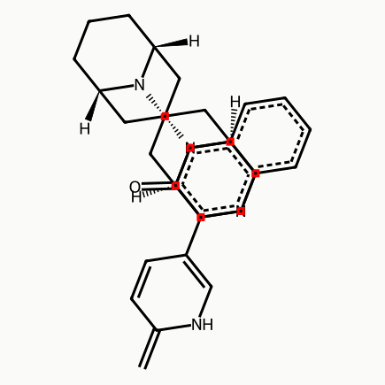 C=C1C=CC(c2nc3ccccc3n([C@H]3C[C@H]4CCC[C@@H](C3)N4[C@H]3C[C@@H]4CCC[C@@H](C4)C3)c2=O)=CN1